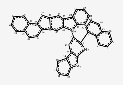 c1ccc2c(-c3nc4sc5ccccc5c4nc3-n3c4ccccc4c4cc5sc6c7ccccc7ccc6c5cc43)cccc2c1